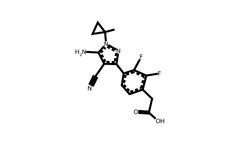 CC1(n2nc(-c3ccc(CC(=O)O)c(F)c3F)c(C#N)c2N)CC1